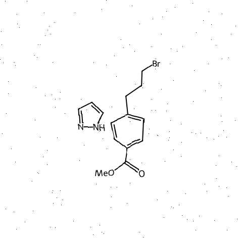 COC(=O)c1ccc(CCCBr)cc1.c1cn[nH]c1